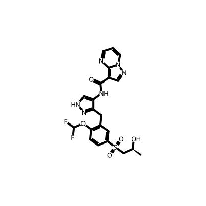 C[C@H](O)CS(=O)(=O)c1ccc(OC(F)F)c(Cc2n[nH]cc2NC(=O)c2cnn3cccnc23)c1